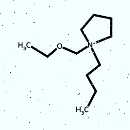 CCCC[N+]1(COCC)CCCC1